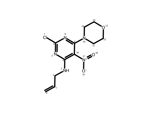 C=CCNc1nc(Cl)nc(N2CCOCC2)c1[N+](=O)[O-]